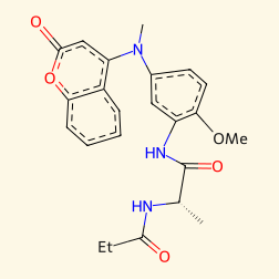 CCC(=O)N[C@@H](C)C(=O)Nc1cc(N(C)c2cc(=O)oc3ccccc23)ccc1OC